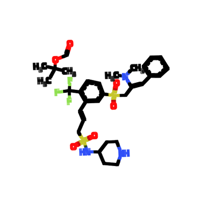 CC(C)(C)OC=O.CN(C)C(=Cc1ccccc1)CS(=O)(=O)c1ccc(C(F)(F)F)c(C=CCS(=O)(=O)NC2CCNCC2)c1